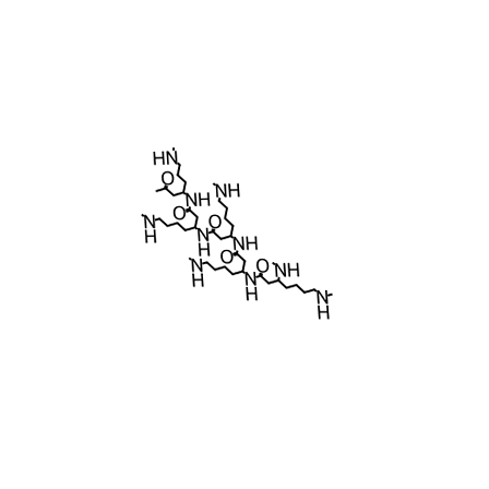 CNCCCCC(CC(=O)NC(CCCCNC)CC(=O)NC(CCCCNC)CC(=O)NC(CCCCNC)CC(=O)NC(CCCNC)CC(C)=O)NC